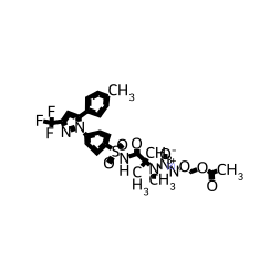 CC(=O)OCO/N=[N+](\[O-])N(C)C(C)(C)C(=O)NS(=O)(=O)c1ccc(-n2nc(C(F)(F)F)cc2-c2ccc(C)cc2)cc1